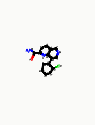 NC(=O)c1ccc2cncc(-c3ccccc3Cl)c2n1